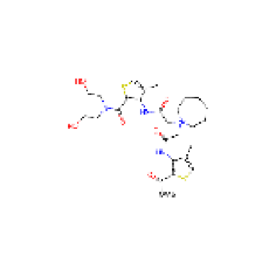 COC(=O)c1scc(C)c1NC(=O)C[N+]1(CC(=O)Nc2c(C)csc2C(=O)N(CCO)CCO)CCCCCC1